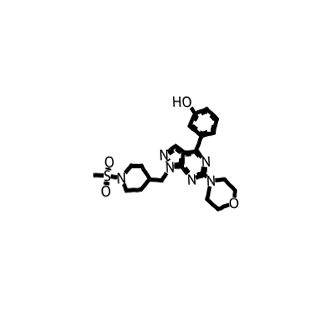 CS(=O)(=O)N1CCC(Cn2ncc3c(-c4cccc(O)c4)nc(N4CCOCC4)nc32)CC1